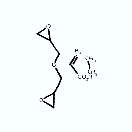 C(OCC1CO1)C1CO1.C=CC(=O)O.CC